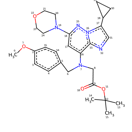 COc1ccc(CN(CC(=O)OC(C)(C)C)c2cc(N3CCOCC3)nn3c(C4CC4)cnc23)cc1